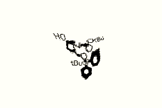 CC(C)(C)OC(=O)N1CC(O)C[C@@H]1CO[Si](c1ccccc1)(c1ccccc1)C(C)(C)C